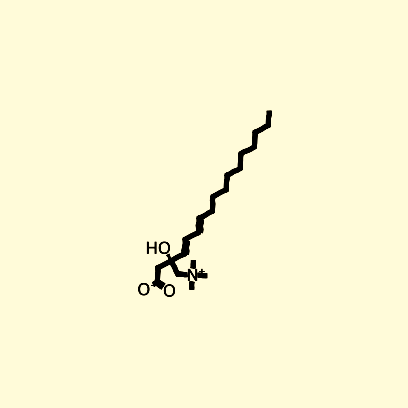 CCCCCCCCCCC=CC=C[C@@](O)(CC(=O)[O-])C[N+](C)(C)C